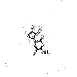 C[C@H]1O[C@@H](n2cc(F)c(N)nc2=O)[C@H](N=O)[C@@H]1O